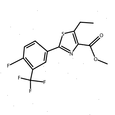 CCc1sc(-c2ccc(F)c(C(F)(F)F)c2)nc1C(=O)OC